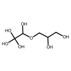 OCC(O)COC(O)C(O)(O)O